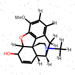 [2H]c1c([2H])c2c3c(c1OC)OC1([2H])C(O)C=C[C@]4([2H])[C@@]31CCN(C([2H])([2H])[2H])[C@]4([2H])C2([2H])[2H]